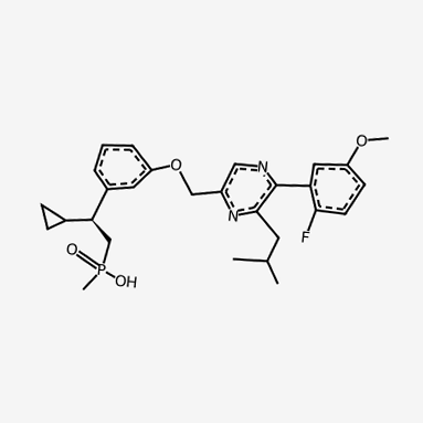 COc1ccc(F)c(-c2ncc(COc3cccc([C@@H](CP(C)(=O)O)C4CC4)c3)nc2CC(C)C)c1